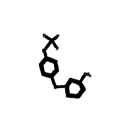 Cc1[c]ccc(Oc2ccc(OC(F)(F)F)cc2)c1